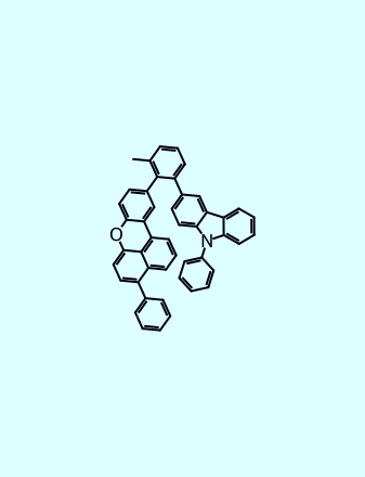 Cc1cccc(-c2ccc3c(c2)c2ccccc2n3-c2ccccc2)c1-c1ccc2c(c1)-c1cccc3c(-c4ccccc4)ccc(c13)O2